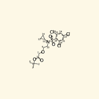 CC(C)(C)OC(=O)COCCN(C1CC1)S(=O)(=O)c1c(Cl)cc(Cl)cc1Cl